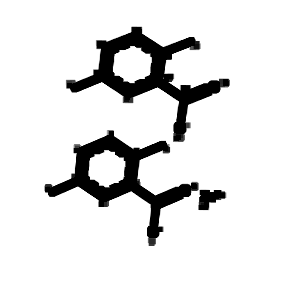 Cc1ccc(C)c(C(=O)[O-])c1.Cc1ccc(C)c(C(=O)[O-])c1.[Zn+2]